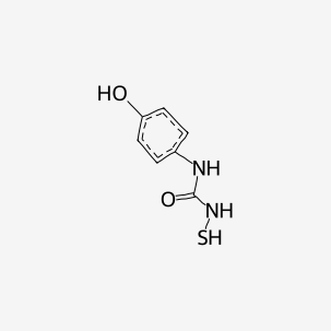 O=C(NS)Nc1ccc(O)cc1